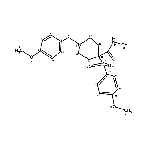 COc1ccc(CN2CCC(C(=O)NO)(S(=O)(=O)c3ccc(OC)cc3)CC2)cc1